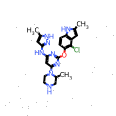 Cc1cc(Nc2cc(N3CCNCC3C)nc(Oc3ccc4[nH]c(C)cc4c3Cl)n2)n[nH]1